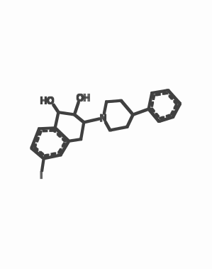 OC1c2ccc(I)cc2CC(N2CCC(c3ccccc3)CC2)C1O